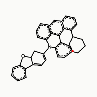 C1=C2c3ccccc3OC2CC(N(c2ccccc2)c2ccccc2-c2cccc3cccc(C4CCCCC4)c23)=C1